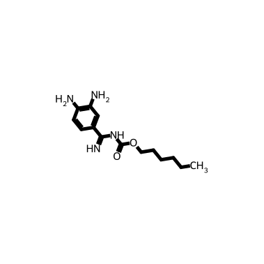 CCCCCCOC(=O)NC(=N)c1ccc(N)c(N)c1